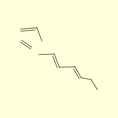 C=C.C=CC.CC=CC=CCC